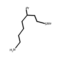 [CH2]C(C)C(CCCCN)CCSC